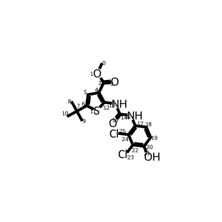 COC(=O)c1cc(C(C)(C)C)sc1NC(=O)Nc1ccc(O)c(Cl)c1Cl